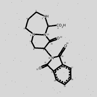 O=C(O)C1NCCCN2CCC(N3C(=O)c4ccccc4C3=O)C(=O)N12